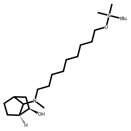 CN(CCCCCCCCCO[Si](C)(C)C(C)(C)C)C1C2CC[C@@H]1[C@H](O)C2